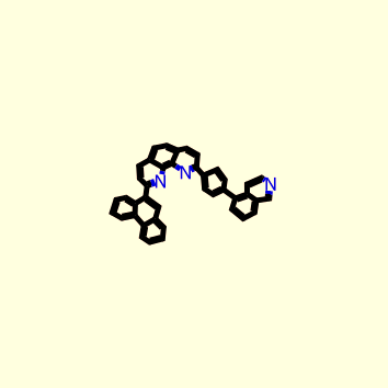 c1cc(-c2ccc(-c3ccc4ccc5ccc(-c6cc7ccccc7c7ccccc67)nc5c4n3)cc2)c2ccncc2c1